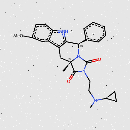 COc1ccc2[nH]c3c(c2c1)C[C@@]1(C)C(=O)N(CCN(C)C2CC2)C(=O)N1[C@@H]3c1ccccc1